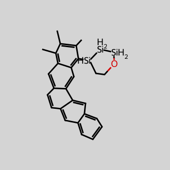 Cc1c(C)c([SiH]2CCO[SiH2][SiH2]2)c2cc3c(ccc4cc5ccccc5cc43)cc2c1C